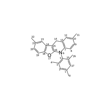 Cc1cc(C)c(N2c3ccc(C)cc3Cc3c2oc2ccc(C)cc32)c(C)c1